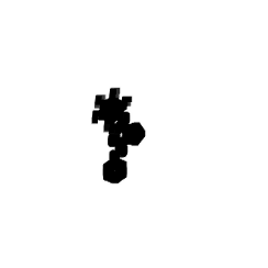 O=C(Oc1c(F)c(F)c(F)c(F)c1F)C1CCCN1C(=O)OCc1ccccc1